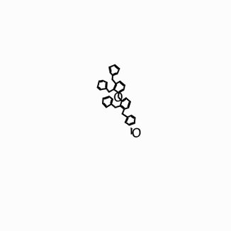 C1CO1.c1ccc(Cc2cccc(Oc3cccc(Cc4ccccc4)c3Cc3ccccc3)c2Cc2ccccc2)cc1